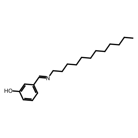 CCCCCCCCCCCCN=Cc1cccc(O)c1